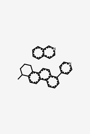 CC1CCCc2c1ccc1c2ccc2c(-c3ccncc3)cccc21.c1ccc2cnccc2c1